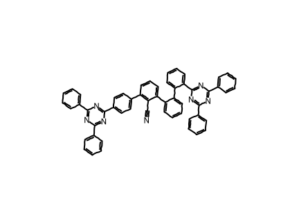 N#Cc1c(-c2ccc(-c3nc(-c4ccccc4)nc(-c4ccccc4)n3)cc2)cccc1-c1ccccc1-c1ccccc1-c1nc(-c2ccccc2)nc(-c2ccccc2)n1